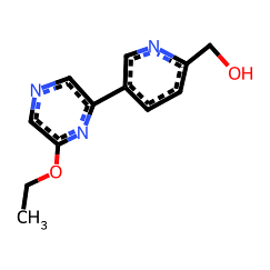 CCOc1cncc(-c2ccc(CO)nc2)n1